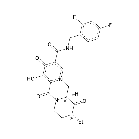 CC[C@@H]1CCN2C(=O)c3c(O)c(=O)c(C(=O)NCc4ccc(F)cc4F)cn3C[C@H]2C1=O